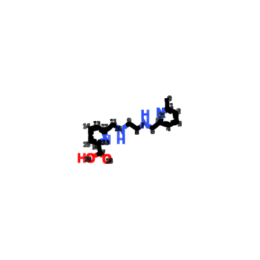 Cc1cccc(CNCCNCc2cccc(C(=O)O)n2)n1